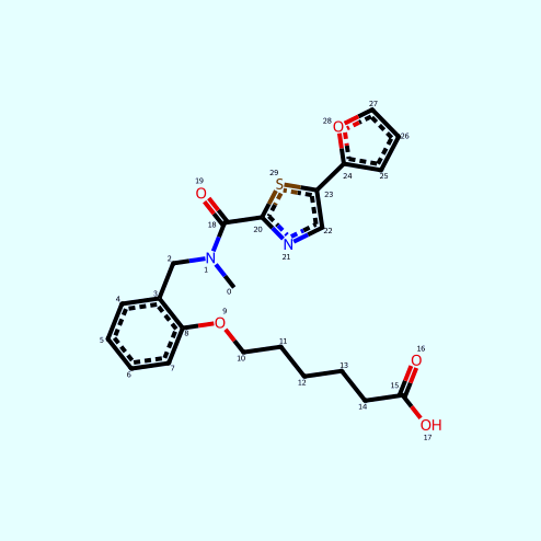 CN(Cc1ccccc1OCCCCCC(=O)O)C(=O)c1ncc(-c2ccco2)s1